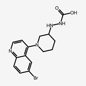 O=C(O)NNC1CCCN(c2ccnc3ccc(Br)cc23)C1